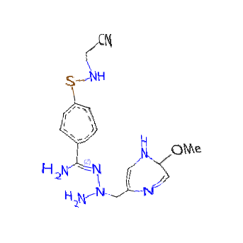 COC1C=NC(CN(N)/N=C(\N)c2ccc(SNCC#N)cc2)=CN1